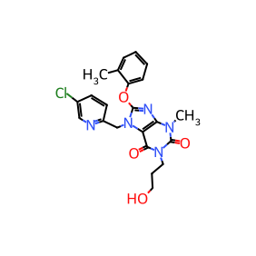 Cc1ccccc1Oc1nc2c(c(=O)n(CCCO)c(=O)n2C)n1Cc1ccc(Cl)cn1